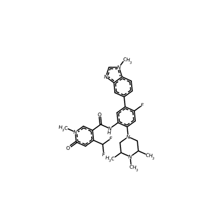 CC1CN(c2cc(F)c(-c3ccc4c(c3)ncn4C)cc2NC(=O)c2cn(C)c(=O)cc2C(F)F)CC(C)N1C